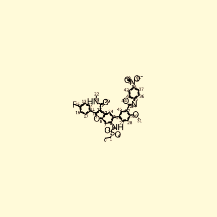 CCS(=O)(=O)Nc1cc2oc(-c3ccc(F)cc3)c(C(=O)NC)c2cc1-c1ccc(OC)c(-c2nc3ccc([N+](=O)[O-])cc3o2)c1